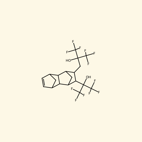 OC(CC1C2CC(C3C4C=CC(C4)C23)C1C(O)(C(F)(F)F)C(F)(F)F)(C(F)(F)F)C(F)(F)F